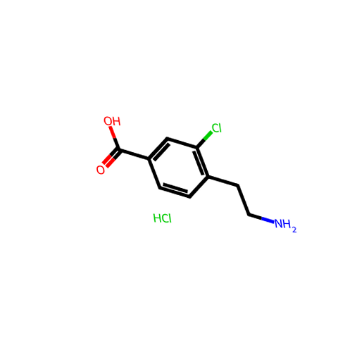 Cl.NCCc1ccc(C(=O)O)cc1Cl